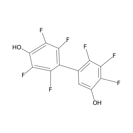 Oc1cc(-c2c(F)c(F)c(O)c(F)c2F)c(F)c(F)c1F